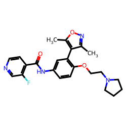 Cc1noc(C)c1-c1cc(NC(=O)c2ccncc2F)ccc1OCCN1CCCC1